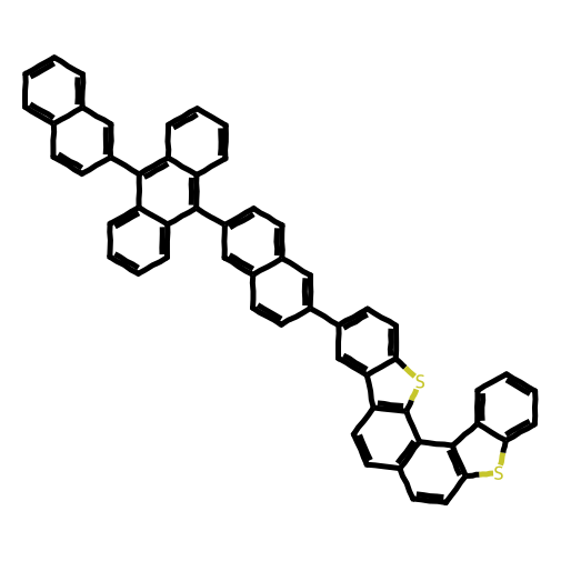 c1ccc2cc(-c3c4ccccc4c(-c4ccc5cc(-c6ccc7sc8c(ccc9ccc%10sc%11ccccc%11c%10c98)c7c6)ccc5c4)c4ccccc34)ccc2c1